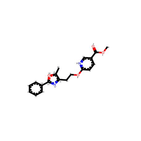 COC(=O)c1ccc(OCCc2nc(-c3ccccc3)oc2C)nc1